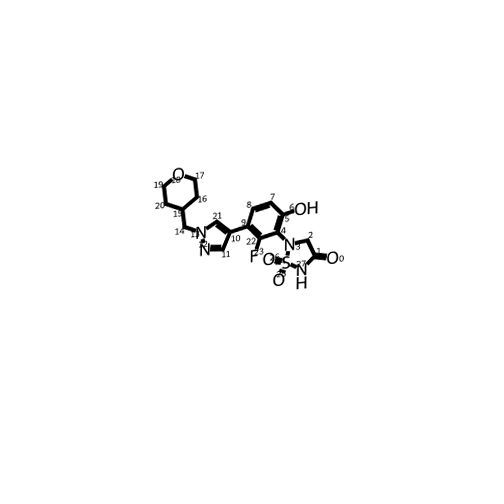 O=C1CN(c2c(O)ccc(-c3cnn(CC4CCOCC4)c3)c2F)S(=O)(=O)N1